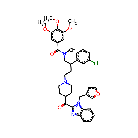 COc1cc(C(=O)N(C)CC(CCN2CCC(C(=O)c3nc4ccccc4n3Cc3ccoc3)CC2)c2cccc(Cl)c2)cc(OC)c1OC